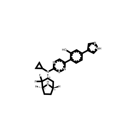 Oc1cc(-c2cn[nH]c2)ccc1-c1cnc(N(C2CC2)[C@@H]2C[C@@H]3CC[C@H](N3)C2(F)F)nn1